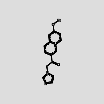 CCOc1ccc2cc(C(=O)Cn3ccnc3)ccc2c1